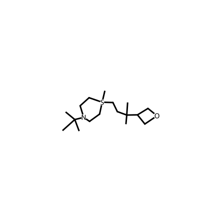 CC(C)(CCS1(C)CCN(C(C)(C)C)CC1)C1COC1